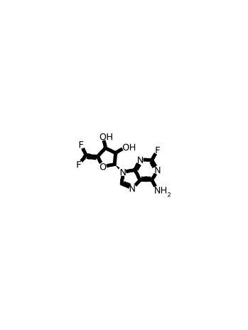 Nc1nc(F)nc2c1ncn2[C@@H]1OC(=C(F)F)C(O)C1O